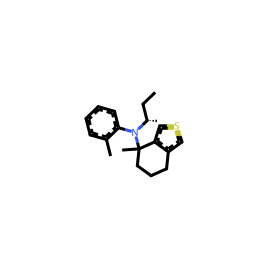 CC[C@H](C)N(c1ccccc1C)C1(C)CCCc2cscc21